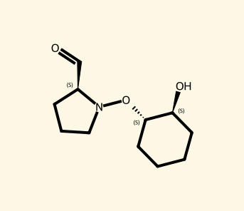 O=C[C@@H]1CCCN1O[C@H]1CCCC[C@@H]1O